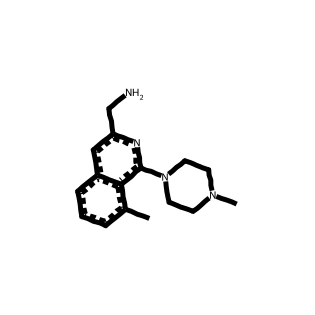 Cc1cccc2cc(CN)nc(N3CCN(C)CC3)c12